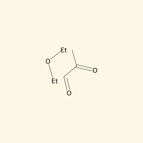 CC(=O)C=O.CCOCC